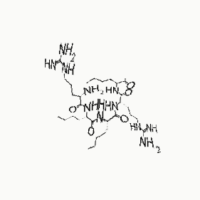 CCCC[C@@H]([C]=O)NC(=O)[C@H](CCCNC(=N)N)NC(=O)[C@H](CCCC)NC(=O)[C@H](CCCC)NC(=O)[C@@H](N)CCCNC(=N)N